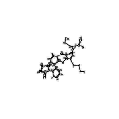 CCCCc1cn(C2C(CC)C2C(C)=O)c(=O)n1Cc1cnccc1-c1ccccc1-c1nnn[nH]1